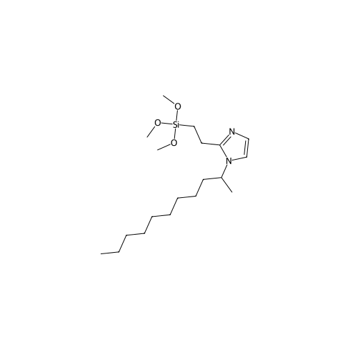 CCCCCCCCCC(C)n1ccnc1CC[Si](OC)(OC)OC